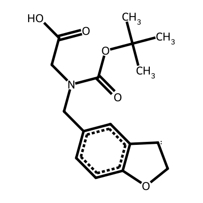 CC(C)(C)OC(=O)N(CC(=O)O)Cc1ccc2c(c1)[C]CO2